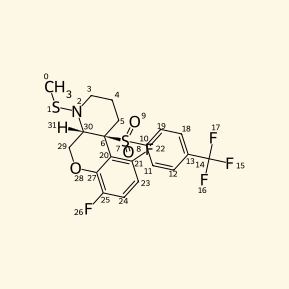 CSN1CCC[C@]2(S(=O)(=O)c3ccc(C(F)(F)F)cc3)c3c(F)ccc(F)c3OC[C@H]12